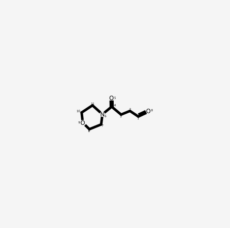 O=CCCC(=O)N1CCOCC1